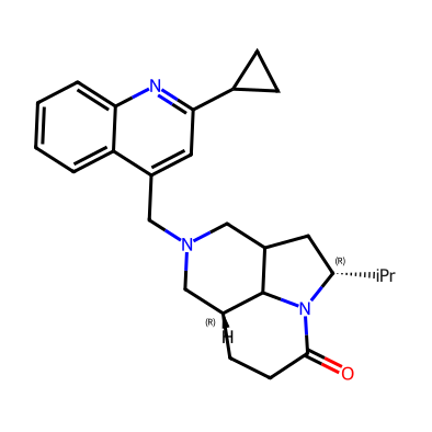 CC(C)[C@H]1CC2CN(Cc3cc(C4CC4)nc4ccccc34)C[C@H]3CCC(=O)N1C23